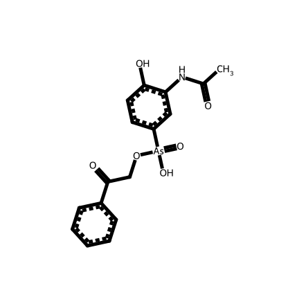 CC(=O)Nc1cc([As](=O)(O)OCC(=O)c2ccccc2)ccc1O